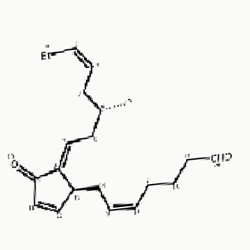 CC/C=C\C[C@H](C)C/C=C1/C(=O)C=C[C@@H]1C/C=C\CCCC=O